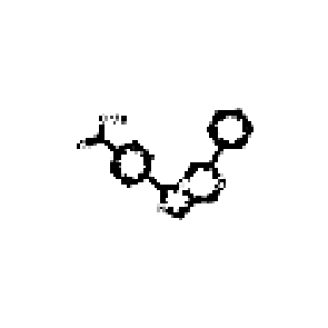 COC(=O)c1ccc(-c2ncc3cnc(-c4ccccc4)cn23)cc1